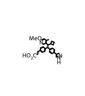 COc1cc(C)c(/C(=C(\c2ccc(/C=C/C(=O)O)cc2)c2ccc(-c3cn[nH]c3)cc2)C2CCC2)cn1